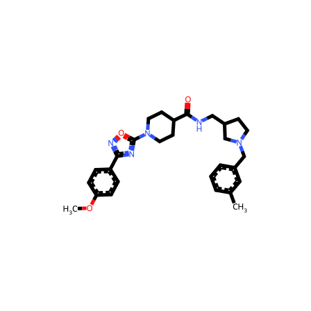 COc1ccc(-c2noc(N3CCC(C(=O)NCC4CCN(Cc5cccc(C)c5)C4)CC3)n2)cc1